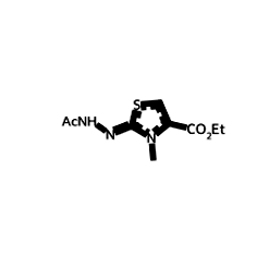 CCOC(=O)c1csc(=NNC(C)=O)n1C